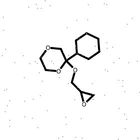 C1CCC(C2(OCC3CO3)COCCO2)CC1